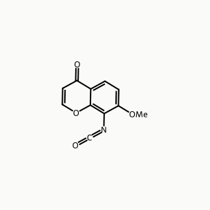 COc1ccc2c(=O)ccoc2c1N=C=O